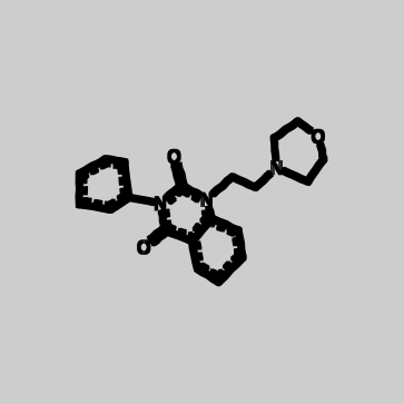 O=c1c2ccccc2n(CCN2CCOCC2)c(=O)n1-c1ccccc1